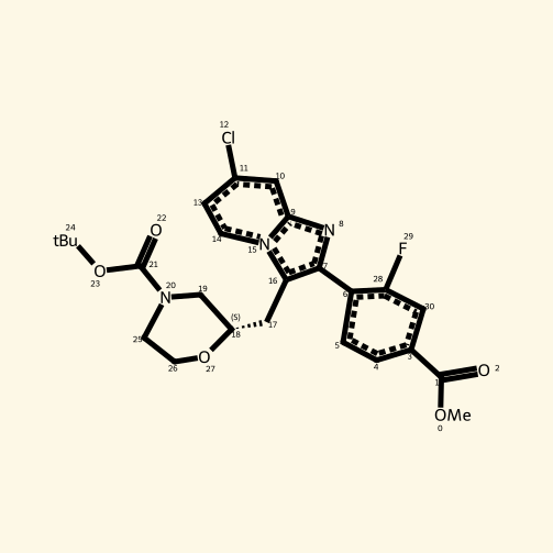 COC(=O)c1ccc(-c2nc3cc(Cl)ccn3c2C[C@H]2CN(C(=O)OC(C)(C)C)CCO2)c(F)c1